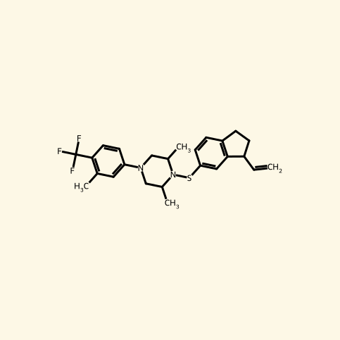 C=CC1CCc2ccc(SN3C(C)CN(c4ccc(C(F)(F)F)c(C)c4)CC3C)cc21